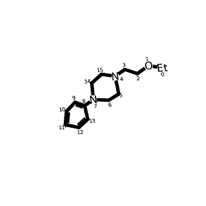 CCOCCN1CCN(c2cc[c]cc2)CC1